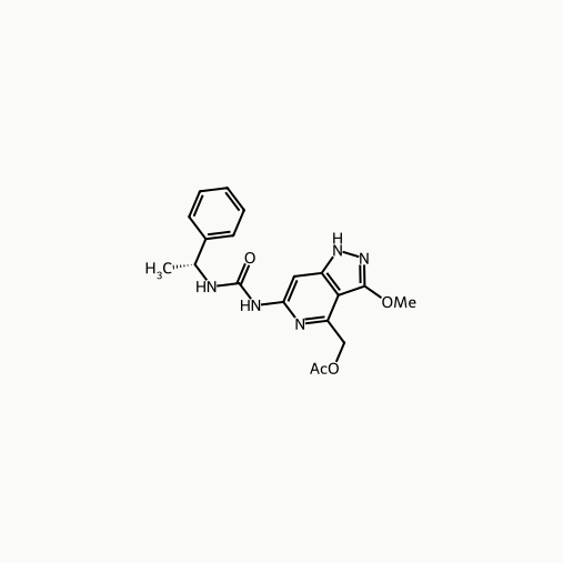 COc1n[nH]c2cc(NC(=O)N[C@H](C)c3ccccc3)nc(COC(C)=O)c12